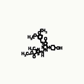 CCOC(=O)c1sc(Nc2nc(N3CCC(O)CC3)c3c(n2)N(Cc2ccc(OC)c(OC)c2)C(=O)C3)nc1C